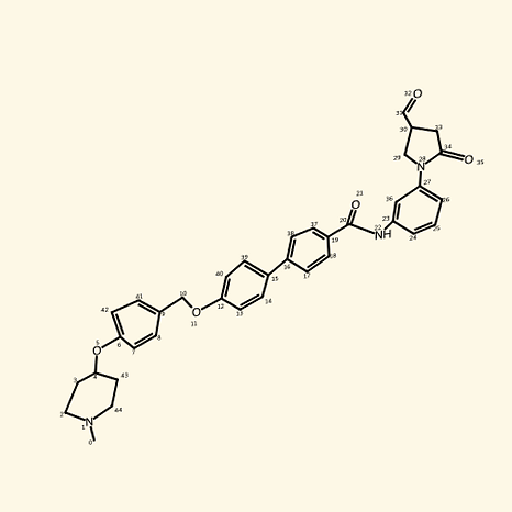 CN1CCC(Oc2ccc(COc3ccc(-c4ccc(C(=O)Nc5cccc(N6CC(C=O)CC6=O)c5)cc4)cc3)cc2)CC1